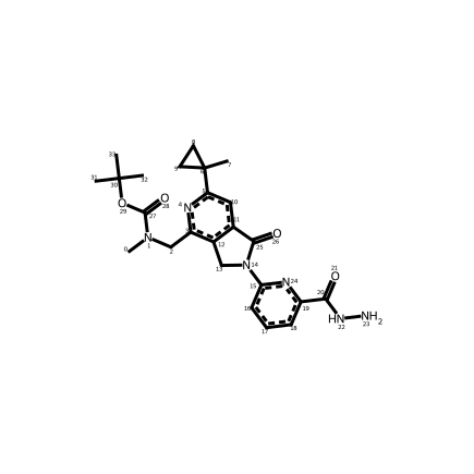 CN(Cc1nc(C2(C)CC2)cc2c1CN(c1cccc(C(=O)NN)n1)C2=O)C(=O)OC(C)(C)C